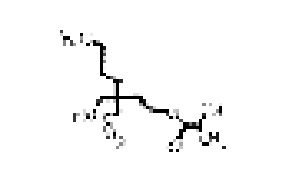 C=C(C)C(=O)OCCC(CC)(CO)CCCC